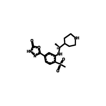 C[C@H](Nc1cc(-c2n[nH]c(=O)o2)ccc1S(C)(=O)=O)C1CCNCC1